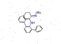 CCCC/N=C1\CCCC=C1Nc1c(-c2ccccc2)cccc1-c1ccccc1